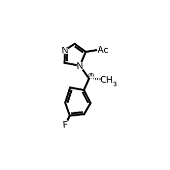 CC(=O)c1cncn1[C@H](C)c1ccc(F)cc1